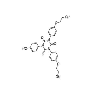 O=c1n(-c2ccc(O)cc2)c(=O)n(-c2ccc(OCCO)cc2)c(=O)n1-c1ccc(OCCO)cc1